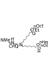 CCCCCCCCC(CC)OC(=O)CCCCCCCN(CCCCCCCC(O)OC(CCCCCCC)CCCCCCCC)CCCN/C(C=O)=C\NC